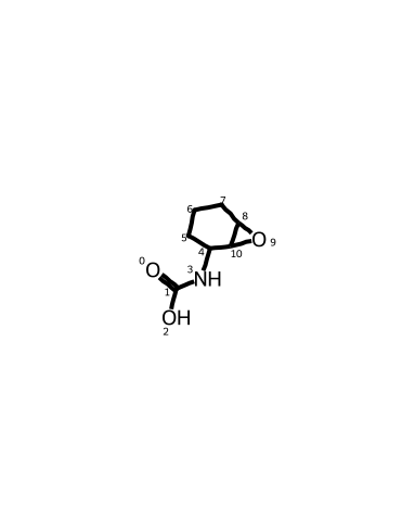 O=C(O)NC1CCCC2OC12